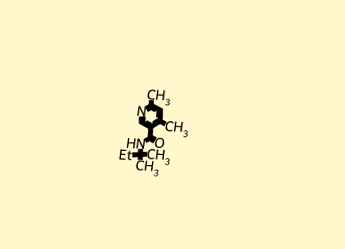 CCC(C)(C)NC(=O)c1cnc(C)cc1C